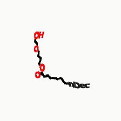 CCCCCCCCCCCCCCCCCC(=O)OCCCCOCCO